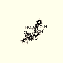 C#C[C@@H](O)[C@@H](O[C@@H](CO)COC(Cc1ccccc1)(C(=O)O)C(=O)O)n1cnc2c(NC[C@H](C)O)nc(Cl)nc21